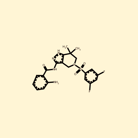 CC1(C)CN(S(=O)(=O)c2cc(F)cc(F)c2)Cc2c(NC(=O)c3ccccc3N)n[nH]c21